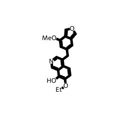 CCOc1ccc2c(Cc3cc(OC)c4cocc4c3)cncc2c1O